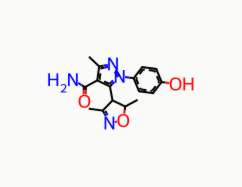 CC1=NOC(C)C1c1c(C(N)=O)c(C)nn1-c1ccc(O)cc1